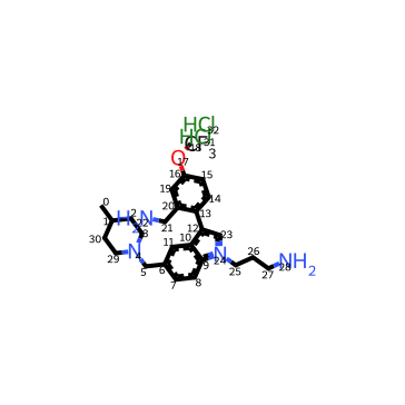 CC1CCN(Cc2ccc3c(c2)c(-c2ccc(OC(F)(F)F)cc2CN)cn3CCCN)CC1.Cl.Cl